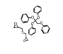 C(OCC1CO1)C1CO1.c1ccc(OCC(Oc2ccccc2)(Oc2ccccc2)Oc2ccccc2)cc1